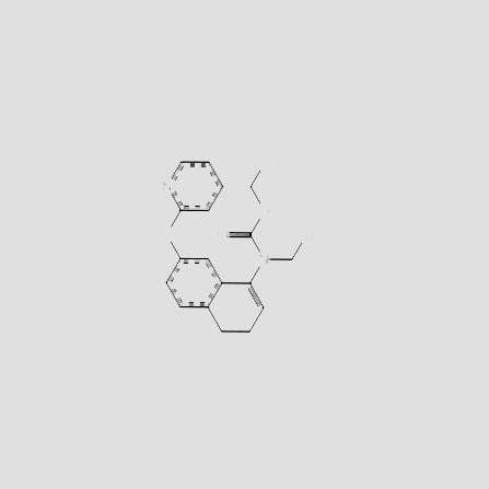 CCOC(=O)N(CC)C1=CCCc2ccc(Oc3ccccn3)cc21